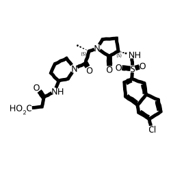 C[C@@H](C(=O)N1CCCC(NC(=O)CC(=O)O)C1)N1CC[C@H](NS(=O)(=O)c2ccc3cc(Cl)ccc3c2)C1=O